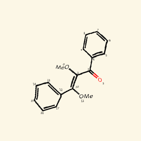 CO/C(C(=O)c1ccccc1)=C(/OC)c1ccccc1